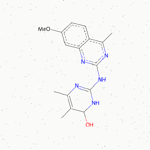 COc1ccc2c(C)nc(NC3=NC(C)=C(C)C(O)N3)nc2c1